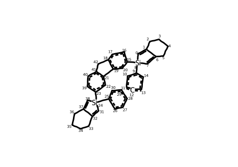 C1=C2CCCCC2=C[Si]1(c1ccccc1)c1ccc2c(c1)-c1cc([Si]3(c4ccccc4)C=C4CCCCC4=C3)ccc1C2